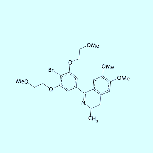 COCCOc1cc(C2=NC(C)Cc3cc(OC)c(OC)cc32)cc(OCCOC)c1Br